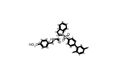 Cc1ccc(C)c(-c2ccc(S(=O)(=O)N3c4ccccc4C[C@H]3C(=O)NCc3ccc(C(=O)O)cc3)cc2)c1